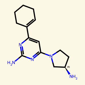 Nc1nc(C2=CCCCC2)cc(N2CC[C@@H](N)C2)n1